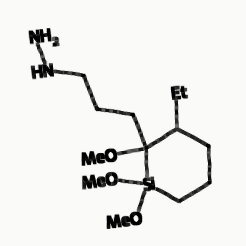 CCC1CCC[Si](OC)(OC)C1(CCCNN)OC